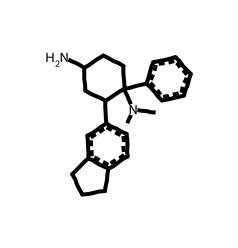 CN(C)C1(c2ccccc2)CCC(N)CC1c1ccc2c(c1)CCC2